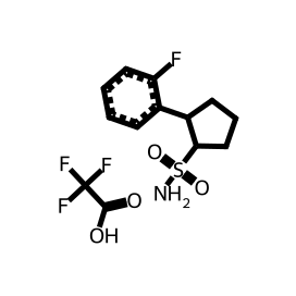 NS(=O)(=O)C1CCCC1c1ccccc1F.O=C(O)C(F)(F)F